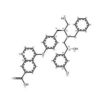 O=C(O)c1ccc2c(Oc3ccc(C[C@@H](CO)N(Cc4ccccc4)C[C@H](O)c4cccc(Cl)c4)cc3)ccnc2c1